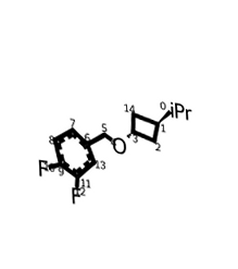 CC(C)[C@H]1C[C@H](OCc2ccc(F)c(F)c2)C1